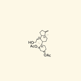 C=C1CCC2[C@H](CCO)C([C@@]3(C)CC[C@H](OC(C)=O)C[C@@H]3OC(C)=O)CC[C@]12C